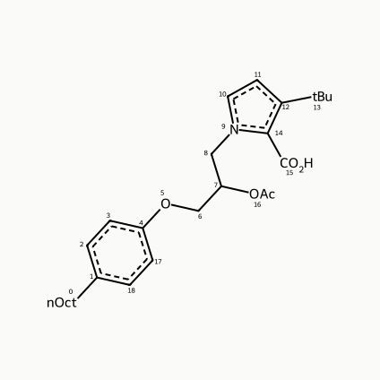 CCCCCCCCc1ccc(OCC(Cn2ccc(C(C)(C)C)c2C(=O)O)OC(C)=O)cc1